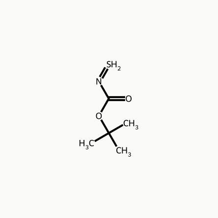 CC(C)(C)OC(=O)N=[SH2]